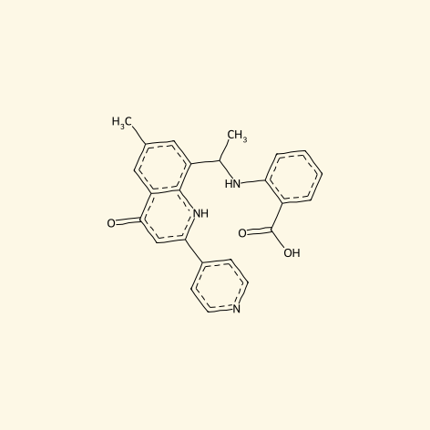 Cc1cc(C(C)Nc2ccccc2C(=O)O)c2[nH]c(-c3ccncc3)cc(=O)c2c1